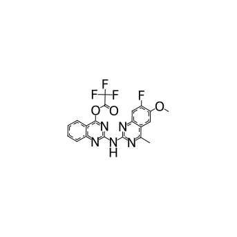 COc1cc2c(C)nc(Nc3nc(OC(=O)C(F)(F)F)c4ccccc4n3)nc2cc1F